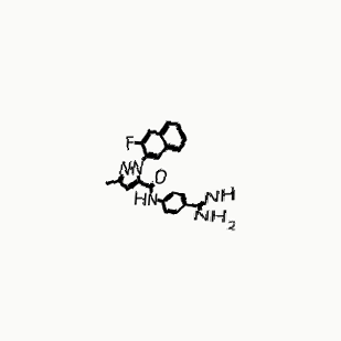 Cc1cc(C(=O)Nc2ccc(C(=N)N)cc2)n(-c2cc3ccccc3cc2F)n1